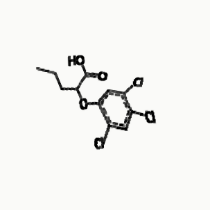 CCCC(Oc1cc(Cl)c(Cl)cc1Cl)C(=O)O